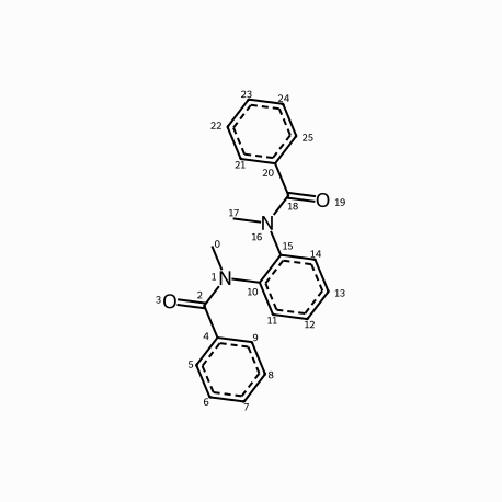 CN(C(=O)c1ccccc1)c1ccccc1N(C)C(=O)c1ccccc1